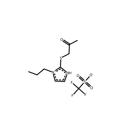 CCC[n+]1cc[nH]c1SCC(C)=O.O=S(=O)([O-])C(F)(F)F